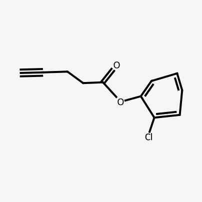 C#CCCC(=O)Oc1ccccc1Cl